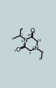 CCN1CC(=O)N(C(C)C)C(=O)C1